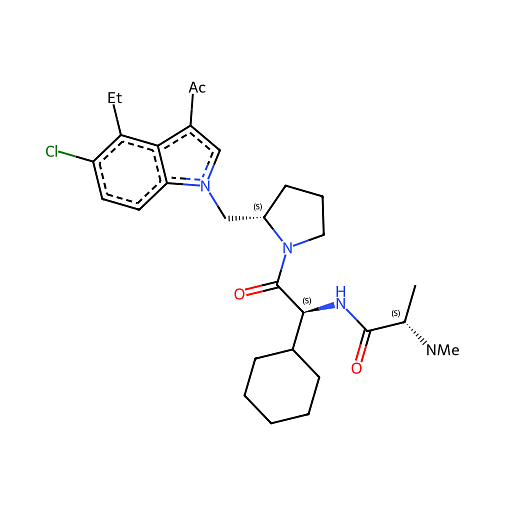 CCc1c(Cl)ccc2c1c(C(C)=O)cn2C[C@@H]1CCCN1C(=O)[C@@H](NC(=O)[C@H](C)NC)C1CCCCC1